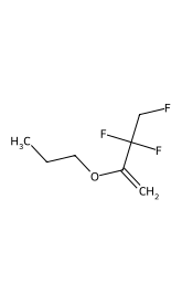 C=C(OCCC)C(F)(F)CF